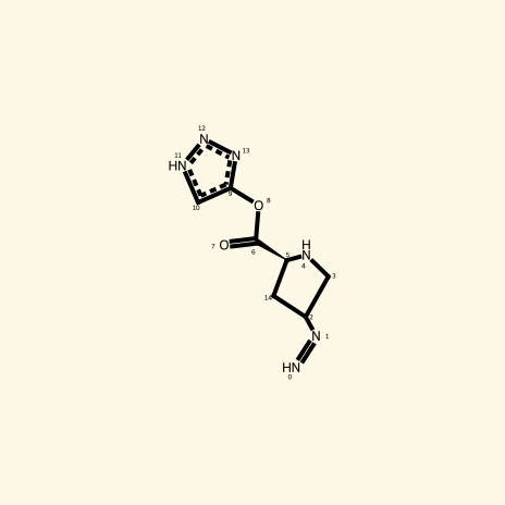 N=NC1CN[C@H](C(=O)Oc2c[nH]nn2)C1